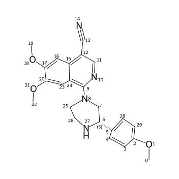 COc1ccc([C@H]2CN(c3ncc(C#N)c4cc(OC)c(OC)cc34)CCN2)cc1